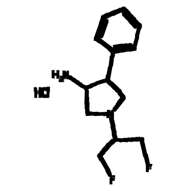 Cl.NC1CN(C(CF)CF)CC1c1ccccc1